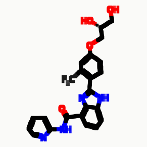 O=C(Nc1ccccn1)c1cccc2[nH]c(-c3ccc(OC[C@H](O)CO)cc3C(F)(F)F)nc12